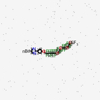 CCCCc1cnc(-c2ccc(OCC(F)(F)C(F)(F)C(F)(F)C(F)(F)C(F)(F)OC(F)(F)C(F)(F)OC(F)(F)C(F)(F)OC(F)(F)C(F)(F)OC(F)(F)F)cc2)nc1